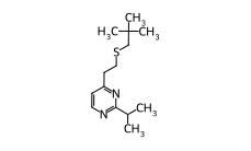 CC(C)c1nccc(CCSCC(C)(C)C)n1